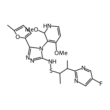 COC1=C(n2c(NSC(C)C(C)c3ncc(F)cn3)nnc2-c2ccc(C)o2)C(OC)NC=C1